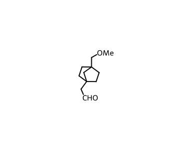 COCC12CCC(CC=O)(CC1)C2